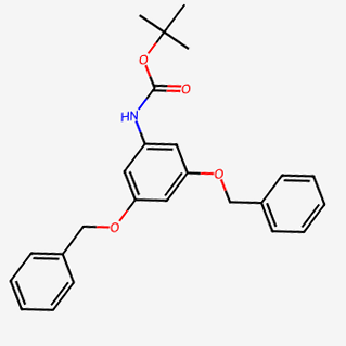 CC(C)(C)OC(=O)Nc1cc(OCc2ccccc2)cc(OCc2ccccc2)c1